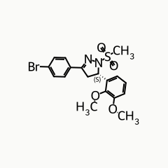 COc1cccc([C@@H]2CC(c3ccc(Br)cc3)=NN2S(C)(=O)=O)c1OC